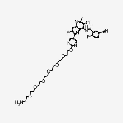 Cc1nc2cc(F)c(-c3cnc(OCCOCCOCCOCCOCCOCCOCCN)nc3)nc2c(N[C@H](C)c2cc(C#N)ccc2F)c1Cl